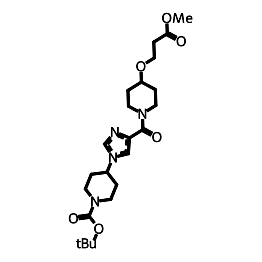 COC(=O)CCOC1CCN(C(=O)c2cn(C3CCN(C(=O)OC(C)(C)C)CC3)cn2)CC1